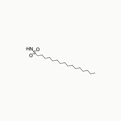 CCCCCCCCCCCCCCCCS([NH])(=O)=O